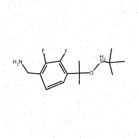 CC(C)(C)[SiH2]OC(C)(C)c1ccc(CN)c(F)c1F